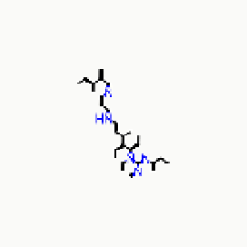 C=N/C(=N\C(=C)CC)N(CC)C(=C/C)/C(=C\C)C(C)/C=C/NC/C=C\N=C/C(=C)/C(C)=C/C